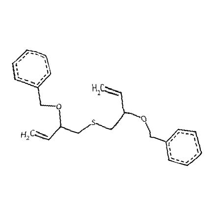 C=CC(CSCC(C=C)OCc1ccccc1)OCc1ccccc1